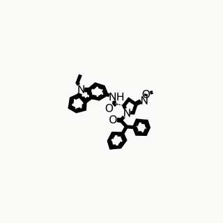 CCn1c2ccccc2c2cc(NC(=O)[C@@H]3C/C(=N\OC)CN3C(=O)C(c3ccccc3)c3ccccc3)ccc21